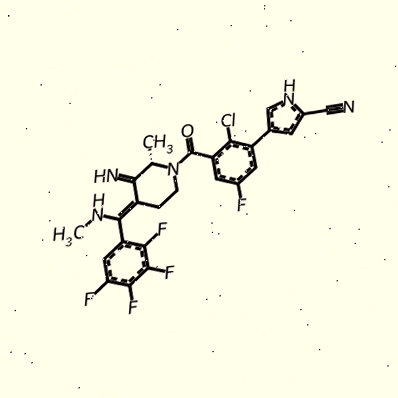 CN/C(=C1/CCN(C(=O)c2cc(F)cc(-c3c[nH]c(C#N)c3)c2Cl)[C@@H](C)C1=N)c1cc(F)c(F)c(F)c1F